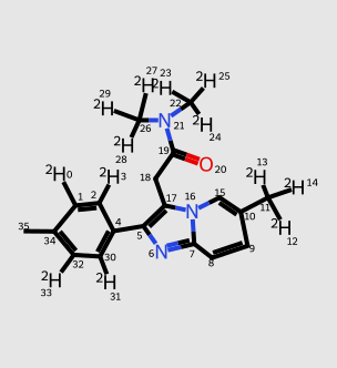 [2H]c1c([2H])c(-c2nc3ccc(C([2H])([2H])[2H])cn3c2CC(=O)N(C([2H])([2H])[2H])C([2H])([2H])[2H])c([2H])c([2H])c1C